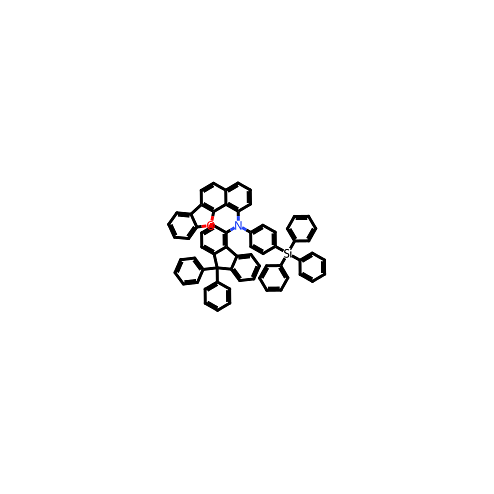 c1ccc(C2(c3ccccc3)c3ccccc3-c3c(N(c4ccc([Si](c5ccccc5)(c5ccccc5)c5ccccc5)cc4)c4cccc5ccc6c7ccccc7oc6c45)cccc32)cc1